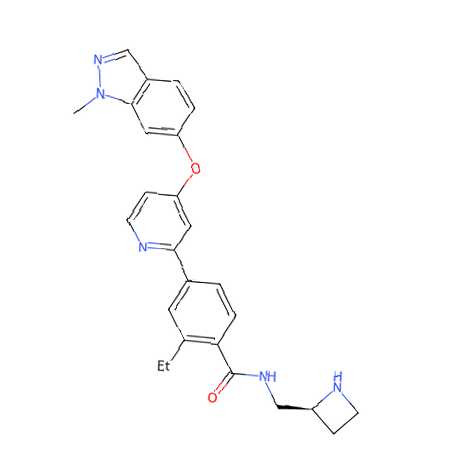 CCc1cc(-c2cc(Oc3ccc4cnn(C)c4c3)ccn2)ccc1C(=O)NC[C@@H]1CCN1